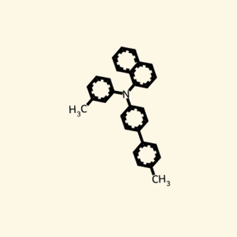 Cc1ccc(-c2ccc(N(c3cccc(C)c3)c3cccc4ccccc34)cc2)cc1